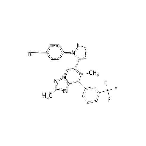 Cc1nc2c(-c3cccc(C(F)(F)F)c3)c(C)c(-c3ccnn3-c3ccc(C#N)cc3)cn2n1